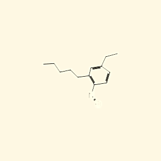 CCCCCc1cc(CC)ccc1N=O